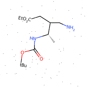 CCOC(=O)CC(CN)[C@H](C)NC(=O)OC(C)(C)C